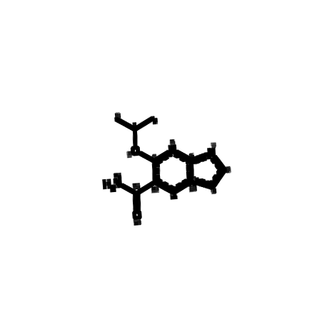 CC(C)Oc1nc2nccn2cc1C(N)=O